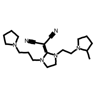 CC1CCCN1CCN1CCN(CCCN2CCCC2)C1=C(C#N)C#N